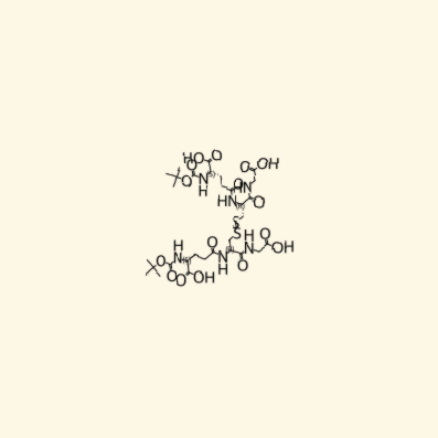 CC(C)(C)OC(=O)N[C@@H](CCC(=O)N[C@@H](CSSC[C@H](NC(=O)CC[C@H](NC(=O)OC(C)(C)C)C(=O)O)C(=O)NCC(=O)O)C(=O)NCC(=O)O)C(=O)O